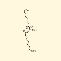 CCCCCCCCCCCCCCCCCC(=O)OC(CN)(CCCCC)C(=O)CCCCCCCCCCCCCCCCC